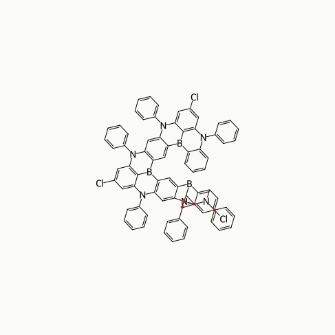 Clc1cc2c3c(c1)N(c1ccccc1)c1cc4c(cc1B3c1ccccc1N2c1ccccc1)B1c2cc3c(cc2N(c2ccccc2)c2cc(Cl)cc(c21)N4c1ccccc1)N(c1ccccc1)c1cc(Cl)cc2c1B3c1ccccc1N2c1ccccc1